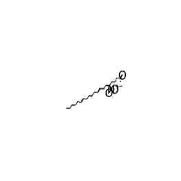 CC/C=C/C/C=C/C/C=C/C/C=C/C/C=C(/CCC[C]=O)[N+](=O)[O-]